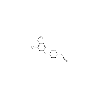 C#CCN1CCN(Cc2cnc(CC)c(C)c2)CC1